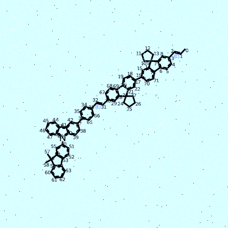 C/C=C/c1ccc2c(c1)C1(CCCC1)c1cc(-c3ccc4c(c3)C3(CCCC3)c3cc(/C=C/c5ccc(-c6ccc7c(c6)c6ccccc6n7-c6ccc7c(c6)C(C)(C)c6ccccc6-7)cc5)ccc3-4)ccc1-2